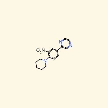 O=[N+]([O-])c1cc(-c2cnccn2)ccc1N1CCCCC1